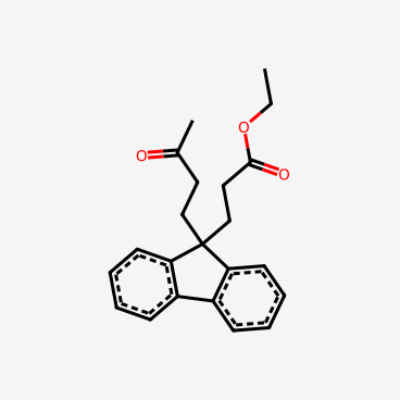 CCOC(=O)CCC1(CCC(C)=O)c2ccccc2-c2ccccc21